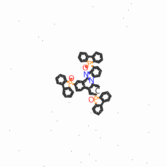 O=P1(c2ccc3c(c2)c2ccc(P4(=O)c5ccccc5-c5ccccc54)cc2c2nc4c(P5(=O)c6ccccc6-c6ccccc65)cccc4n32)c2ccccc2-c2ccccc21